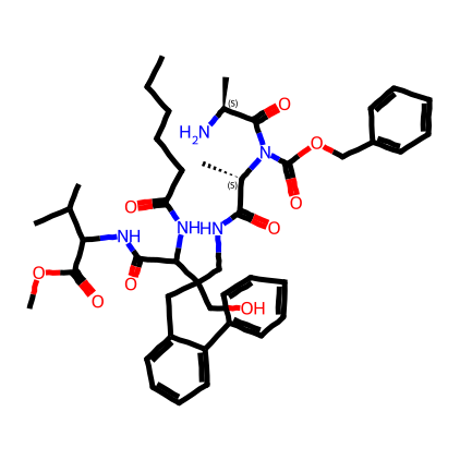 CCCCCC(=O)NC(C(=O)NC(C(=O)OC)C(C)C)C(CO)(CNC(=O)[C@H](C)N(C(=O)OCc1ccccc1)C(=O)[C@H](C)N)Cc1ccccc1-c1ccccc1